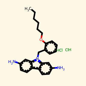 CCCCCCOc1ccccc1Cn1c2cc(N)ccc2c2ccc(N)cc21.Cl.Cl